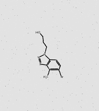 Cc1c(Br)ccc2c1nnn2CCCO